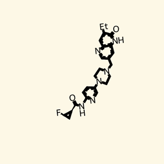 CCc1cc2ncc(CN3CCN(c4ccc(NC(=O)[C@H]5C[C@H]5F)nc4)CC3)cc2[nH]c1=O